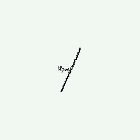 CCCCCCCCCCCCCCCCOCC(COCCCCCCCCCCCCCCCC)OCCCN.Cl